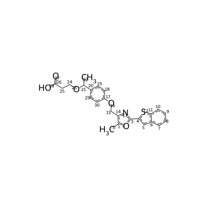 Cc1oc(-c2cc3ccccc3s2)nc1COc1ccc(C(C)OCCC(=O)O)cc1